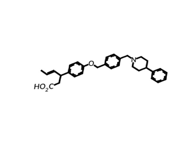 CC=CC(CC(=O)O)c1ccc(OCc2ccc(CN3CCC(c4ccccc4)CC3)cc2)cc1